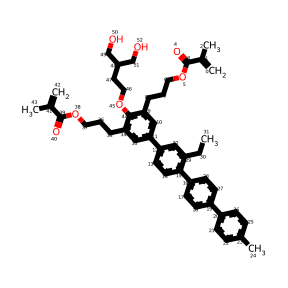 C=C(C)C(=O)OCCCc1cc(-c2ccc(-c3ccc(-c4ccc(C)cc4)cc3)c(CC)c2)cc(CCCOC(=O)C(=C)C)c1OCCC(CO)CO